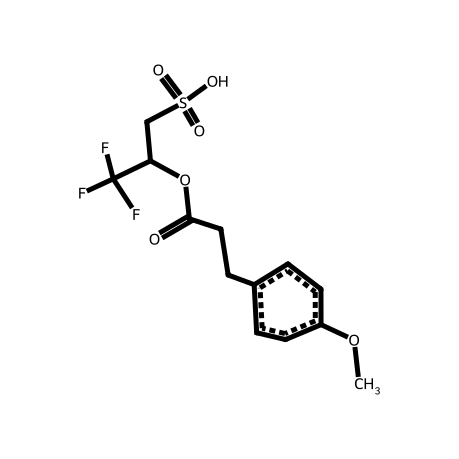 COc1ccc(CCC(=O)OC(CS(=O)(=O)O)C(F)(F)F)cc1